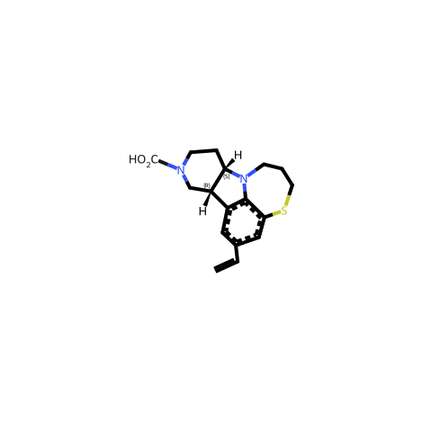 C=Cc1cc2c3c(c1)[C@@H]1CN(C(=O)O)CC[C@@H]1N3CCCS2